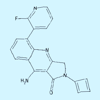 Nc1c2c(nc3c(-c4cccnc4F)cccc13)CN(C1=CC=C1)C2=O